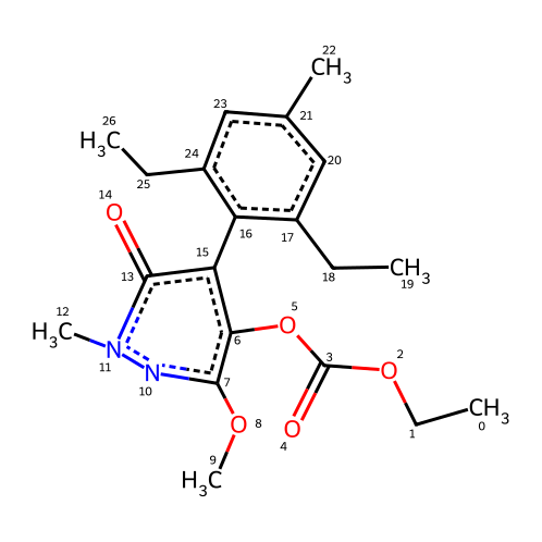 CCOC(=O)Oc1c(OC)nn(C)c(=O)c1-c1c(CC)cc(C)cc1CC